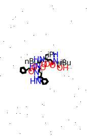 CCCC[C@H](NC(=O)[C@H](Cc1c[nH]c2ccccc12)NC(=O)OCc1ccccc1)C(=O)N[C@@H](CC(C)C)[C@@H](O)CC(=O)N[C@H](CO)[C@@H](C)CC